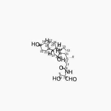 C[C@H](CCC(=O)NC(C=O)CO)[C@H]1CC[C@H]2[C@@H]3CC[C@@H]4C[C@H](O)CC[C@]4(C)[C@H]3C[C@H](O)[C@]12C